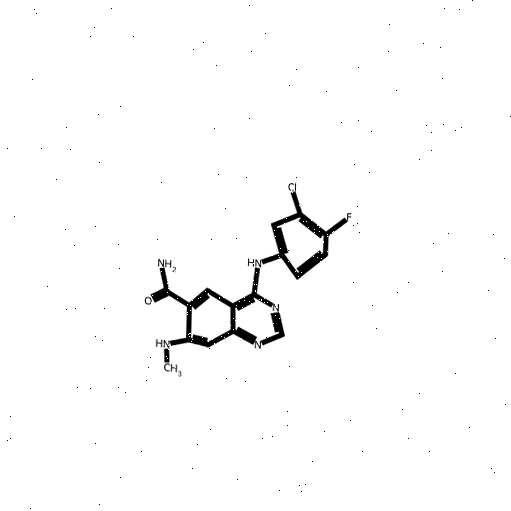 CNc1cc2ncnc(Nc3ccc(F)c(Cl)c3)c2cc1C(N)=O